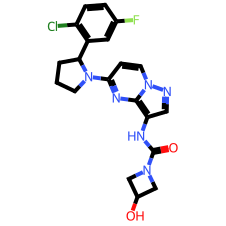 O=C(Nc1cnn2ccc(N3CCCC3c3cc(F)ccc3Cl)nc12)N1CC(O)C1